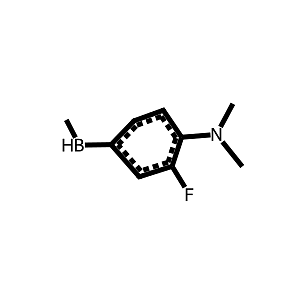 CBc1ccc(N(C)C)c(F)c1